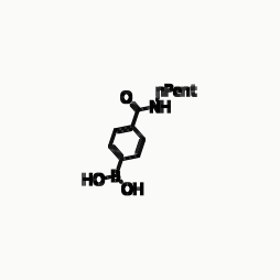 CCCCCNC(=O)c1ccc(B(O)O)cc1